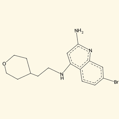 Nc1cc(NCCC2CCOCC2)c2ccc(Br)cc2n1